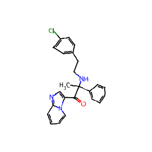 CC(NCCc1ccc(Cl)cc1)(C(=O)c1cnc2ccccn12)c1ccccc1